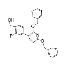 OCc1ccc(-c2ccc(OCc3ccccc3)nc2OCc2ccccc2)cc1F